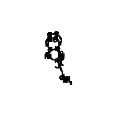 C=C(CNC(=O)C1CCCCNC(=O)c2cc3nc(c2)-c2cc(cc(n2)CN2CC=Cc4cccc(n4)-c4cccc(n4)C=CCN(CC4=NC(=CCC4)C4=CCCC(=N4)C2)C3)C(=O)N1)S/C(=C\C)CCCCCC(=O)NN